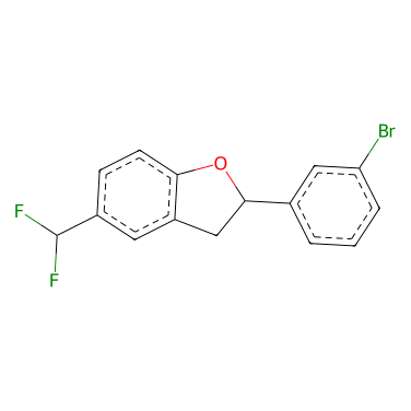 FC(F)c1ccc2c(c1)CC(c1cccc(Br)c1)O2